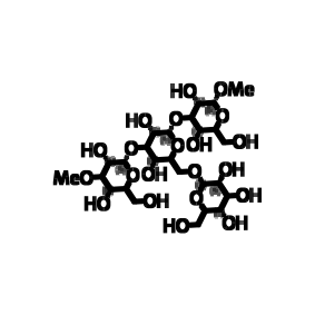 COC1[C@H](O)C(CO)O[C@@H](OC2[C@H](O)C(CO[C@@H]3OC(CO)[C@@H](O)C(O)[C@@H]3O)O[C@@H](OC3[C@H](O)C(CO)O[C@@H](OC)[C@H]3O)[C@H]2O)[C@H]1O